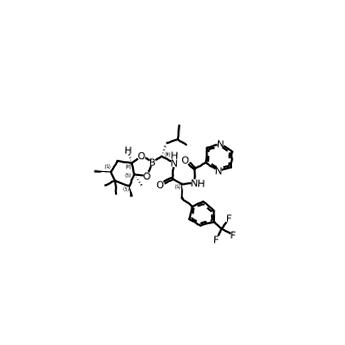 CC(C)C[C@H](NC(=O)[C@H](Cc1ccc(C(F)(F)F)cc1)NC(=O)c1cnccn1)B1O[C@@H]2C[C@H](C)C(C)(C)[C@H](C)[C@]2(C)O1